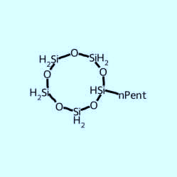 CCCCC[SiH]1O[SiH2]O[SiH2]O[SiH2]O[SiH2]O1